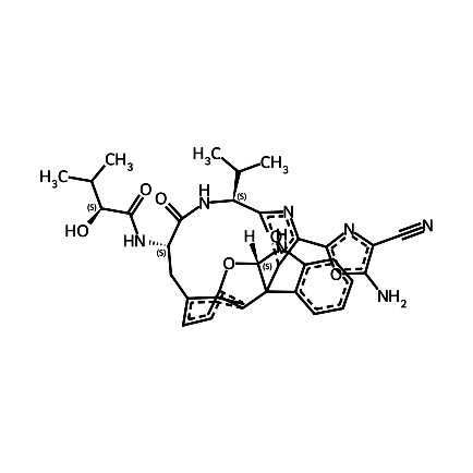 CC(C)[C@H](O)C(=O)N[C@H]1Cc2ccc3c(c2)C2(c4ccccc4N[C@H]2O3)c2oc(nc2-c2nc(C#N)c(N)o2)[C@H](C(C)C)NC1=O